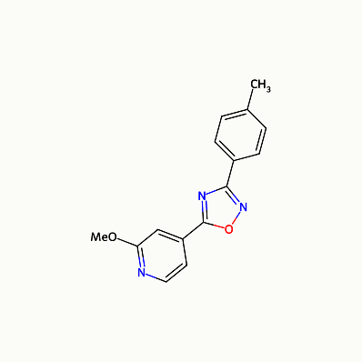 COc1cc(-c2nc(-c3ccc(C)cc3)no2)ccn1